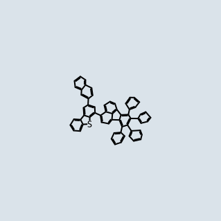 c1ccc(-c2c(-c3ccccc3)c(-c3ccccc3)c3c(c2-c2ccccc2)-c2cccc4c(-c5cc(-c6ccc7ccccc7c6)cc6c5sc5ccccc56)ccc-3c24)cc1